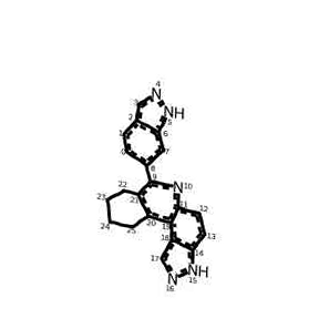 c1cc2cn[nH]c2cc1-c1nc2ccc3[nH]ncc3c2c2c1CCCC2